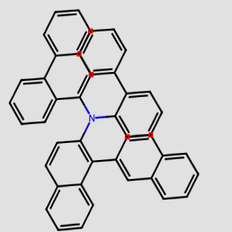 c1ccc(-c2ccccc2N(c2ccc3ccccc3c2-c2ccc3ccccc3c2)c2cc3ccccc3c3ccccc23)cc1